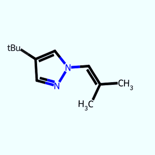 CC(C)=Cn1cc(C(C)(C)C)cn1